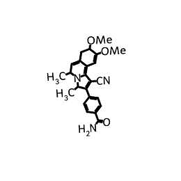 COC1=CC2=C3C(C#N)=C(c4ccc(C(N)=O)cc4)C(C)N3C(C)C=C2CC1OC